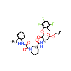 C=CCOC(=O)C[C@H](NC(=O)[C@@H]1CCCCN(C(=O)C(=O)Nc2ccccc2C(C)(C)C)C1)C(=O)COc1c(C)c(F)cc(F)c1F